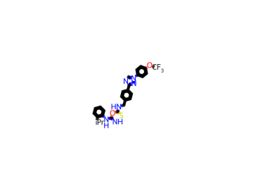 CC(C)c1ccccc1NC(=N)OC(=S)NCc1ccc(-c2ncn(-c3ccc(OC(F)(F)F)cc3)n2)cc1